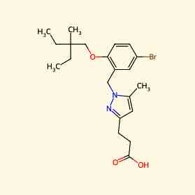 CCC(C)(CC)COc1ccc(Br)cc1Cn1nc(CCC(=O)O)cc1C